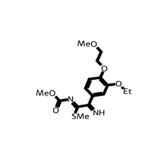 CCOc1cc(C(=N)C(=NC(=O)OC)SC)ccc1OCCOC